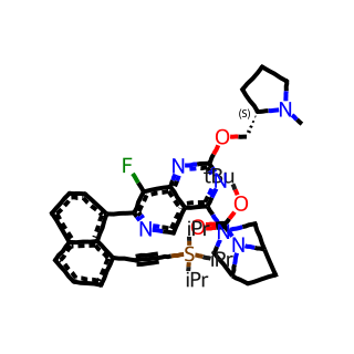 CC(C)S(C#Cc1cccc2cccc(-c3ncc4c(N5CC6CCC(C5)N6C(=O)OC(C)(C)C)nc(OC[C@@H]5CCCN5C)nc4c3F)c12)(C(C)C)C(C)C